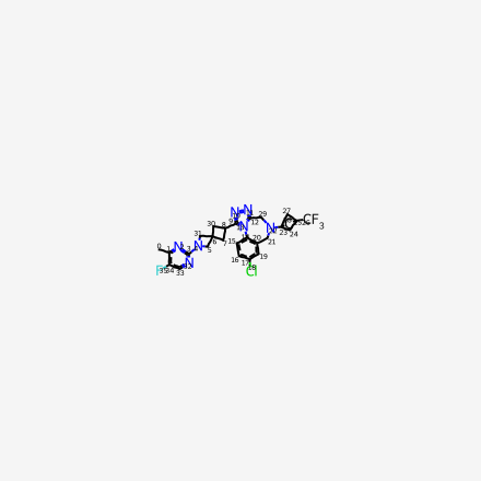 Cc1nc(N2CC3(CC(c4nnc5n4-c4ccc(Cl)cc4CN(C46CC(C(F)(F)F)(C4)C6)C5)C3)C2)ncc1F